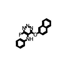 Fc1nnnc(Oc2ccc3ccccc3c2)c1Nc1ccccc1